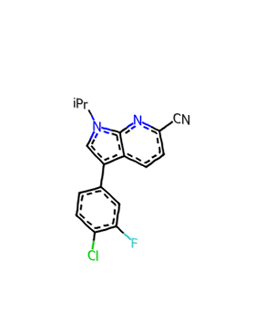 CC(C)n1cc(-c2ccc(Cl)c(F)c2)c2ccc(C#N)nc21